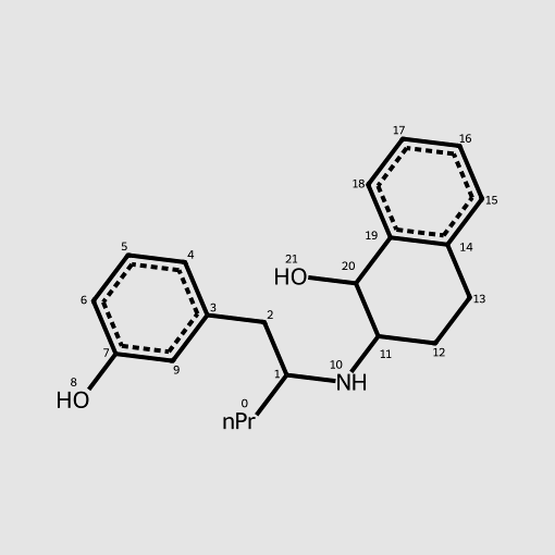 CCCC(Cc1cccc(O)c1)NC1CCc2ccccc2C1O